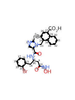 CCCCc1ncc(C(=O)N[C@@H](CC(=O)NO)Cc2ccccc2Br)n1Cc1ccc(C(=O)O)c2ccccc12